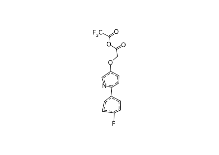 O=C(COc1ccc(-c2ccc(F)cc2)nc1)OC(=O)C(F)(F)F